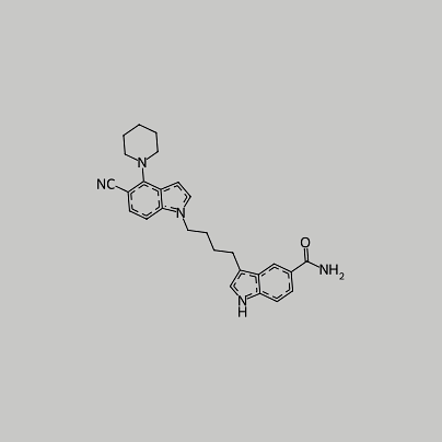 N#Cc1ccc2c(ccn2CCCCc2c[nH]c3ccc(C(N)=O)cc23)c1N1CCCCC1